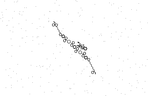 C#CCN(/N=C/c1cc(OC(=O)[C@H]2CC[C@H](C(=O)Oc3ccc(OCCCCCCOC(=O)C=C)cc3)CC2)ccc1OC(=O)[C@H]1CC[C@H](C(=O)Oc2ccc(OCCCCCCCCC(=O)C=C)cc2)CC1)c1nc2ccccc2s1